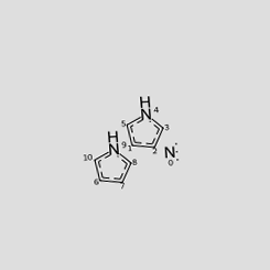 [N].c1cc[nH]c1.c1cc[nH]c1